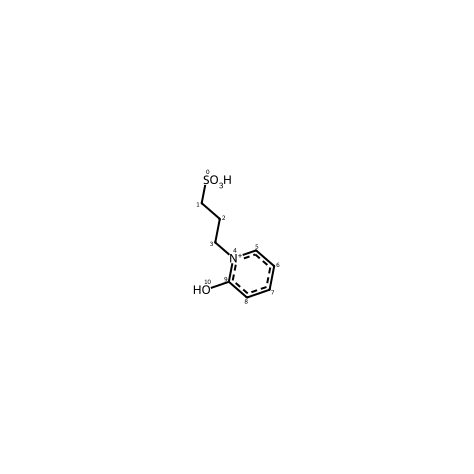 O=S(=O)(O)CCC[n+]1ccccc1O